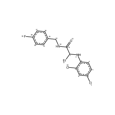 CCC(Nc1ccc(Cl)cc1Cl)C(=O)NCc1ccc(F)cc1